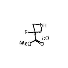 COC(=O)C1(F)CNC1.Cl